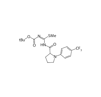 CS/C(=N/C(=O)OC(C)(C)C)NC(=O)C1CCCN1c1ccc(C(F)(F)F)cc1